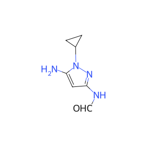 Nc1cc(NC=O)nn1C1CC1